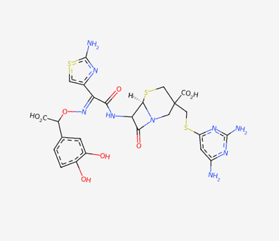 Nc1cc(SCC2(C(=O)O)CS[C@@H]3C(NC(=O)C(=NOC(C(=O)O)c4ccc(O)c(O)c4)c4csc(N)n4)C(=O)N3C2)nc(N)n1